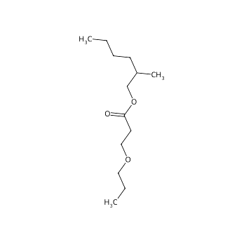 CCCCC(C)COC(=O)CCOCCC